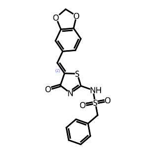 O=C1N=C(NS(=O)(=O)Cc2ccccc2)S/C1=C\c1ccc2c(c1)OCO2